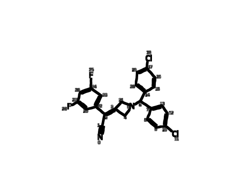 N#CC(=C1CN(C(c2ccc(Cl)cc2)c2ccc(Cl)cc2)C1)c1cc(F)cc(F)c1